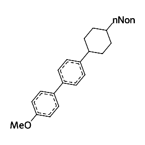 CCCCCCCCCC1CCC(c2ccc(-c3ccc(OC)cc3)cc2)CC1